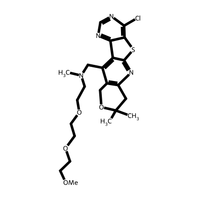 COCCOCCOCCN(C)Cc1c2c(nc3sc4c(Cl)ncnc4c13)CC(C)(C)OC2